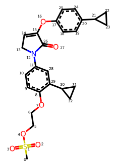 CS(=O)(=O)OCCOc1ccc(N2CC=C(Oc3ccc(C4CC4)cc3)C2=O)cc1C1CC1